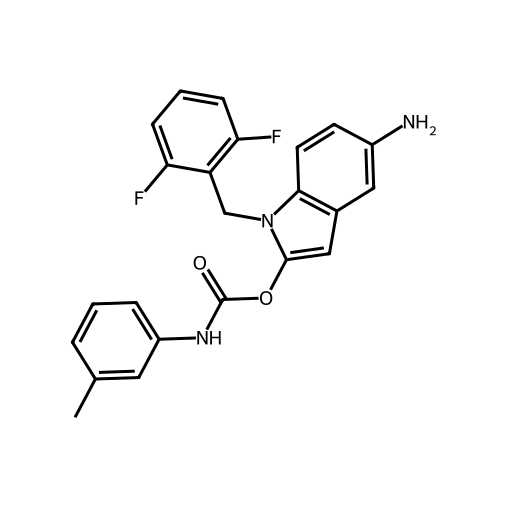 Cc1cccc(NC(=O)Oc2cc3cc(N)ccc3n2Cc2c(F)cccc2F)c1